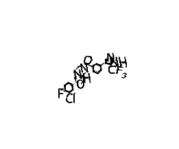 O=C(c1cccc(-c2cn[nH]c2C(F)(F)F)c1)N1CCN2C[C@@H](c3ccc(F)c(Cl)c3)OC[C@@H]2C1